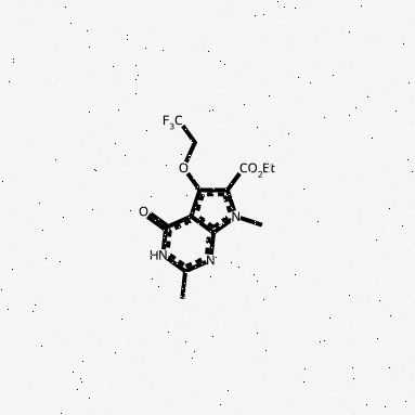 CCOC(=O)c1c(OCC(F)(F)F)c2c(=O)[nH]c(C)nc2n1C